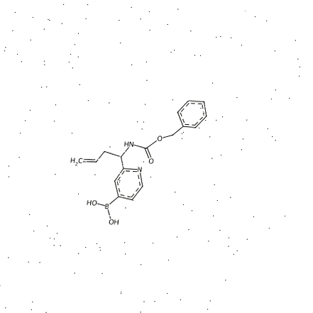 C=CCC(NC(=O)OCc1ccccc1)c1cc(B(O)O)ccn1